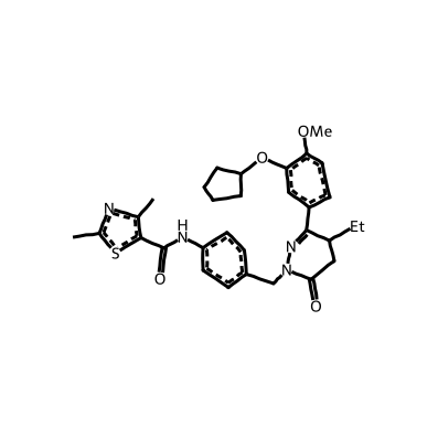 CCC1CC(=O)N(Cc2ccc(NC(=O)c3sc(C)nc3C)cc2)N=C1c1ccc(OC)c(OC2CCCC2)c1